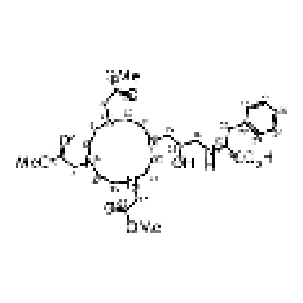 COC(=O)CN1CCN(CC(=O)OC)CCN(CC(O)CNC(Cc2ccccc2)C(=O)O)CCN(CC(=O)OC)CC1